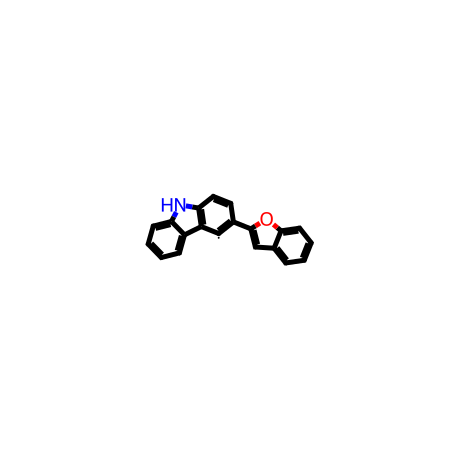 [c]1c(-c2cc3ccccc3o2)ccc2[nH]c3ccccc3c12